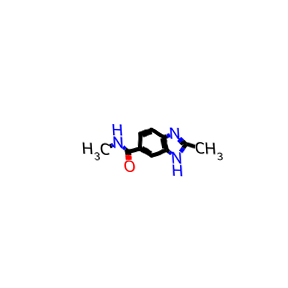 CNC(=O)c1ccc2nc(C)[nH]c2c1